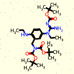 CCNc1ccc(N(CC)C(N)=NC(=O)OC(C)(C)C)cc1CN(C(=O)OC(C)(C)C)C(=O)OC(C)(C)C